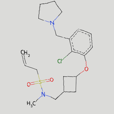 C=CCS(=O)(=O)N(C)CC1CC(Oc2cccc(CN3CCCC3)c2Cl)C1